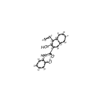 [N]=Nc1c(O)c(C(=O)Nc2ccccc2Cl)cc2ccccc12